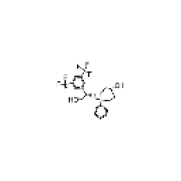 OCC(OC[C@]1(c2ccccc2)CC[C@@H](O)CC1)c1cc(C(F)(F)F)cc(C(F)(F)F)c1